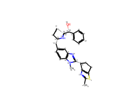 Cc1nc2c(s1)CC[C@H]2c1nc2cc(C[C@@H]3CC[C@H]([C@H](O)c4ccccc4)N3)ccc2n1C